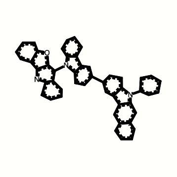 c1ccc(-n2c3ccc(-c4ccc5c(c4)c4ccccc4n5-c4c5ccccc5nc5c4oc4ccccc45)cc3c3cc4ccccc4cc32)cc1